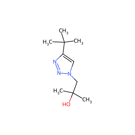 CC(C)(O)Cn1cc(C(C)(C)C)nn1